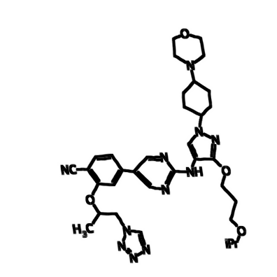 CC(C)OCCCOc1nn(C2CCC(N3CCOCC3)CC2)cc1Nc1ncc(-c2ccc(C#N)c(OC(C)Cn3cnnn3)c2)cn1